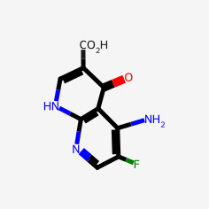 Nc1c(F)cnc2[nH]cc(C(=O)O)c(=O)c12